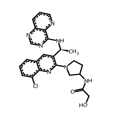 C[C@H](Nc1ncnc2cccnc12)c1cc2cccc(Cl)c2nc1N1CCC(NC(=O)CO)C1